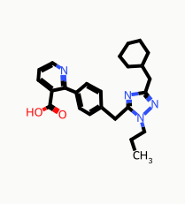 CCCn1nc(CC2CCCCC2)nc1Cc1ccc(-c2ncccc2C(=O)O)cc1